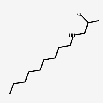 CCCCCCCCCNCC(C)Cl